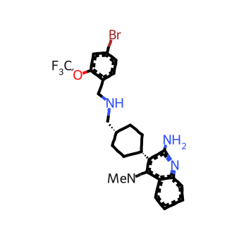 CNc1c2ccccc2nc(N)c1[C@H]1CC[C@@H](CNCc2ccc(Br)cc2OC(F)(F)F)CC1